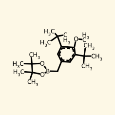 COc1c(C(C)(C)C)cc(CB2OC(C)(C)C(C)(C)O2)cc1C(C)(C)C